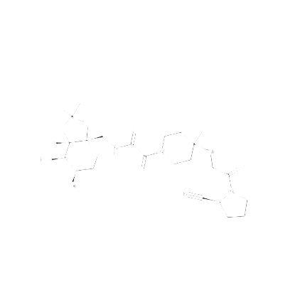 CC1(NCC(=O)N2CCC[C@H]2C#N)CCN(C(=O)C(=O)NC[C@@]23OC[C@@H](O)[C@@H](O)[C@@H]2OC(C)(C)O3)CC1